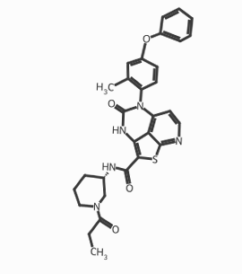 CCC(=O)N1CCC[C@H](NC(=O)c2sc3nccc4c3c2NC(=O)N4c2ccc(Oc3ccccc3)cc2C)C1